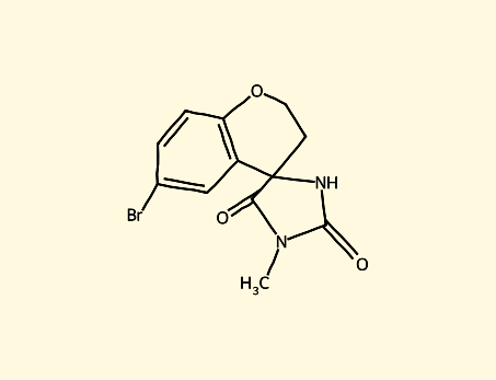 CN1C(=O)NC2(CCOc3ccc(Br)cc32)C1=O